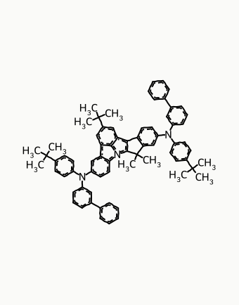 CC(C)(C)c1ccc(N(c2cccc(-c3ccccc3)c2)c2ccc3c(c2)C(C)(C)c2c-3c3cc(C(C)(C)C)cc4c5cc(N(c6ccc(C(C)(C)C)cc6)c6cccc(-c7ccccc7)c6)ccc5n2c34)cc1